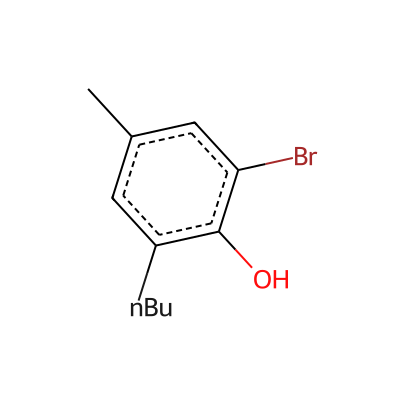 CCCCc1cc(C)cc(Br)c1O